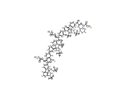 CC(=O)O/N=C(\CC1CCCCC1)C(=O)c1ccc2c(c1)C(CCC(F)(F)F)(CCC(F)(F)F)c1cc(-c3ccc(/C(=N\OC(C)=O)C(=O)C4=CC5C(C=C4)c4ccc(-c6ccc(/C(=N\OC(C)=O)C(=O)c7ccc8c(c7)C(CCC(F)(F)F)(CCC(F)(F)F)c7ccccc7-8)c(C)c6)cc4C5(CCC(F)(F)F)CCC(F)(F)F)cc3)ccc1-2